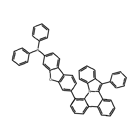 c1ccc(-c2c3ccccc3n3c4c(-c5ccc6c(c5)oc5cc(N(c7ccccc7)c7ccccc7)ccc56)cccc4c4ccccc4c23)cc1